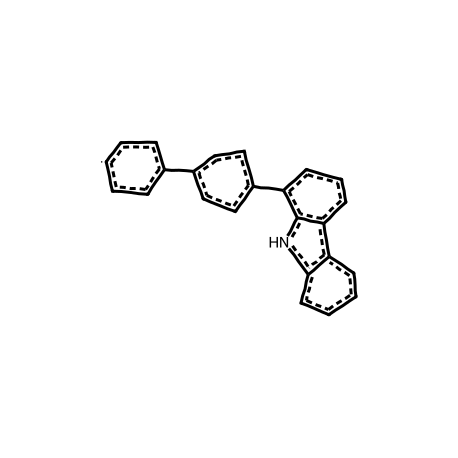 [c]1ccc(-c2ccc(-c3cccc4c3[nH]c3ccccc34)cc2)cc1